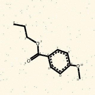 CCCOC(=O)c1ccc(OC)cc1